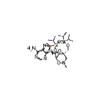 CC(C)[Si]1(C(C)C)OC[C@@]23CN(C)OC([C@H](n4cnc5c(N)ncnc54)O2)[C@H]3O[Si](C(C)C)(C(C)C)O1